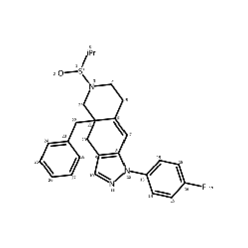 CC(C)[S+]([O-])N1CCC2=Cc3c(cnn3-c3ccc(F)cc3)CC2(Cc2ccccc2)C1